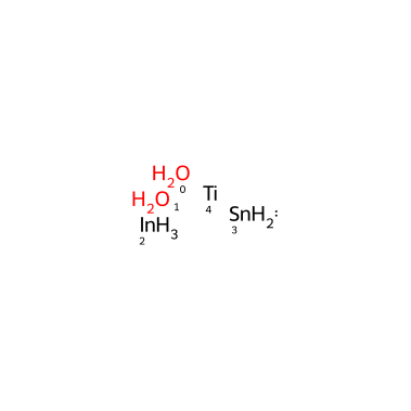 O.O.[InH3].[SnH2].[Ti]